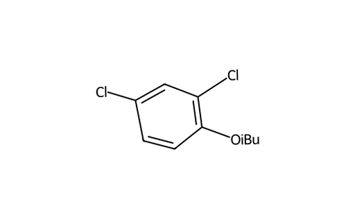 CC(C)COc1ccc(Cl)cc1Cl